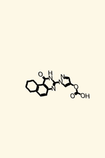 O=C(O)Oc1cnn(-c2nc3ccc4c(c3c(=O)[nH]2)CCCC4)c1